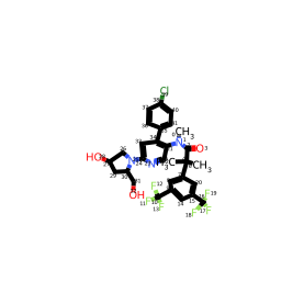 CN(C(=O)C(C)(C)c1cc(C(F)(F)F)cc(C(F)(F)F)c1)c1cnc(N2CC(O)CC2CO)cc1-c1ccc(Cl)cc1